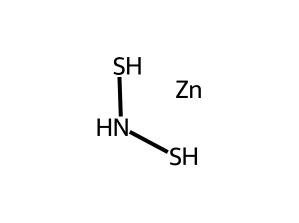 SNS.[Zn]